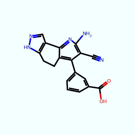 N#Cc1c(N)nc2c(c1-c1cccc(C(=O)O)c1)CCc1[nH]ncc1-2